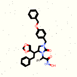 CC(C)C(C(=O)NO)N1C(=O)N(Cc2ccc(OCc3ccccc3)cc2)CC1C(Cc1ccccc1)C1=COCO1